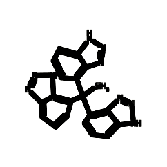 [SiH3]C(c1cccc2[nH]nnc12)(c1cccc2[nH]nnc12)c1cccc2nn[nH]c12